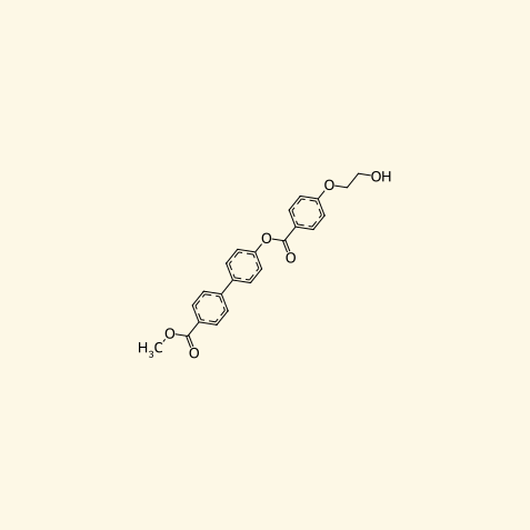 COC(=O)c1ccc(-c2ccc(OC(=O)c3ccc(OCCO)cc3)cc2)cc1